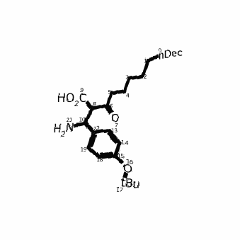 CCCCCCCCCCCCCCCC(=O)C(C(=O)O)C(N)c1ccc(OC(C)(C)C)cc1